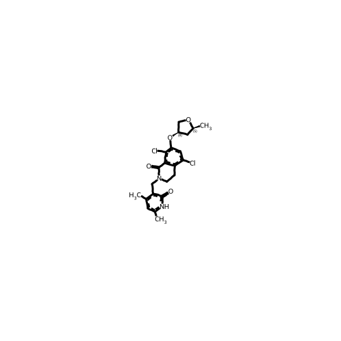 Cc1cc(C)c(CN2CCc3c(Cl)cc(O[C@H]4CO[C@@H](C)C4)c(Cl)c3C2=O)c(=O)[nH]1